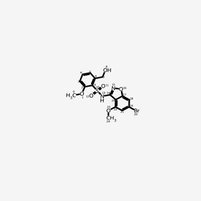 COc1cccc(CO)c1S(=O)(=O)Nc1noc2cc(Br)cc(OC)c12